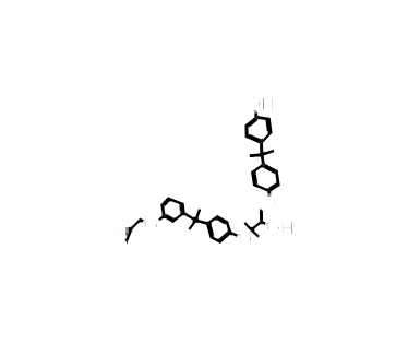 CC(C)(c1ccc(O)cc1)c1ccc(OCC(O)C(C)(C)Oc2ccc(C(C)(C)c3cccc(OCC4CO4)c3)cc2)cc1